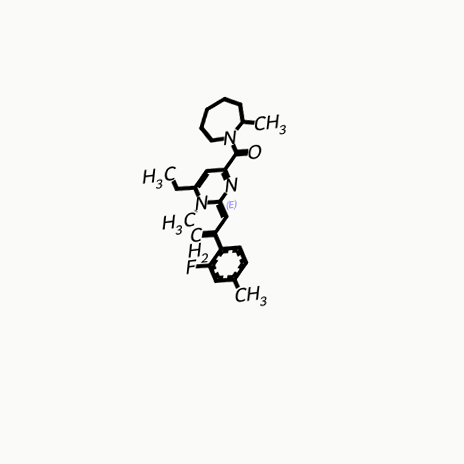 C=C(/C=C1/N=C(C(=O)N2CCCCCC2C)C=C(CC)N1C)c1ccc(C)cc1F